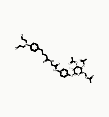 CC(=O)OC[C@H]1O[C@@H](Oc2ccc(NC(=O)CNC(=O)CCCc3ccc([As](CCCl)CCCl)cc3)cc2)[C@H](F)[C@@H](OC(C)=O)[C@@H]1OC(C)=O